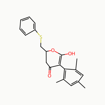 Cc1cc(C)c(C2=C(O)OC(CSc3ccccc3)CC2=O)c(C)c1